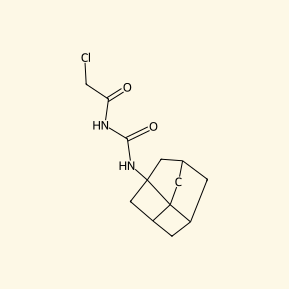 O=C(CCl)NC(=O)NC12CC3CC4CC(C1)C42C3